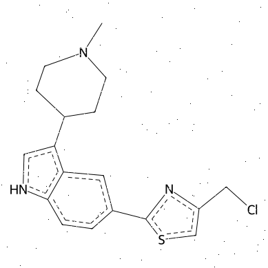 CN1CCC(c2c[nH]c3ccc(-c4nc(CCl)cs4)cc23)CC1